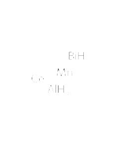 [AlH3].[BiH3].[Ce].[Mn]